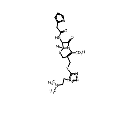 CN(C)CCn1nnnc1SCC1=C(C(=O)O)N2C(=O)C(NC(=O)Cc3cccs3)[C@H]2SC1